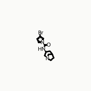 O=C(NC1CC2CCN(C2)C1)n1ccc(Br)c1